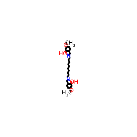 COc1ccc(/C=N/CCCCCCCCCC/N=C/c2ccc(OC)cc2O)c(O)c1